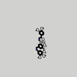 COc1ccc(C(=O)/C=C\Nc2cc(/C=C\c3cc(OC)c(OC)c(OC)c3)cc(F)c2OC)cc1OC